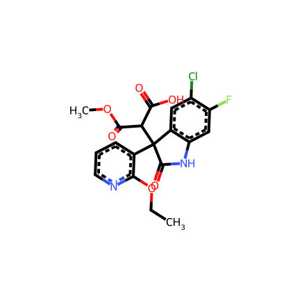 CCOc1ncccc1C1(C(C(=O)O)C(=O)OC)C(=O)Nc2cc(F)c(Cl)cc21